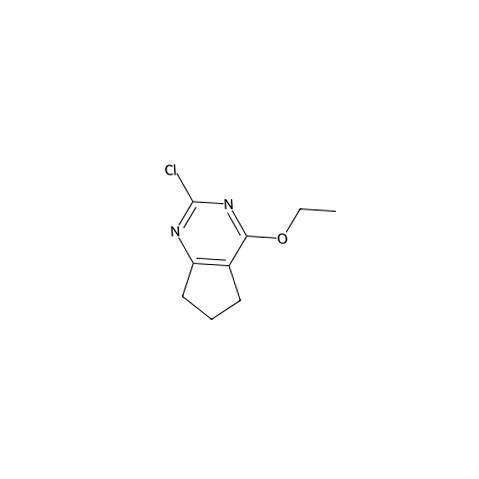 CCOc1nc(Cl)nc2c1CCC2